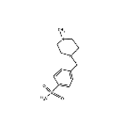 CN1CCN(Cc2ccc(S(C)(=O)=O)cc2)CC1